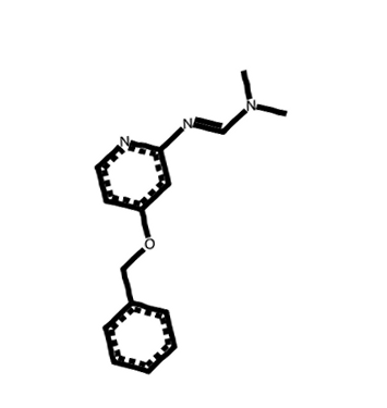 CN(C)C=Nc1cc(OCc2ccccc2)ccn1